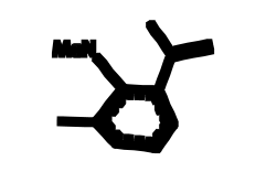 C=C(C)c1cccc(C)c1NC